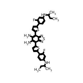 CCC(C)Nc1ccc(-c2ccc(-c3c(N)c(N)c(-c4ccc(-c5ccc(NC(C)CC)cc5F)s4)c4nsnc34)s2)c(F)c1